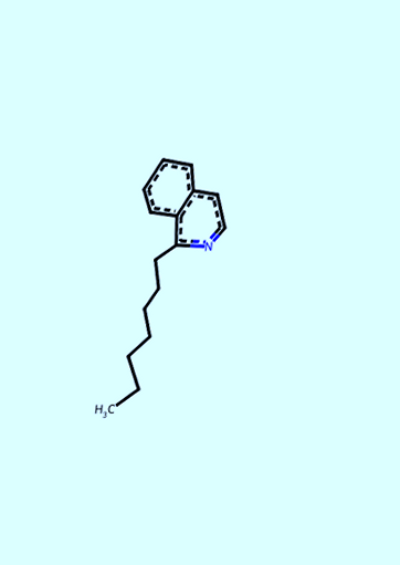 CCCCCCCc1nccc2ccccc12